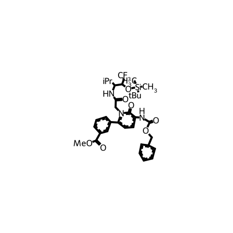 COC(=O)c1cccc(-c2ccc(NC(=O)OCc3ccccc3)c(=O)n2CC(=O)NC(C(C)C)C(O[Si](C)(C)C(C)(C)C)C(F)(F)F)c1